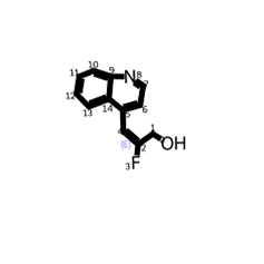 OC/C(F)=C\c1ccnc2ccccc12